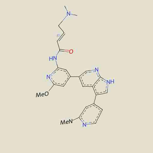 CNc1cc(-c2c[nH]c3ncc(-c4cc(NC(=O)/C=C/CN(C)C)nc(OC)c4)cc23)ccn1